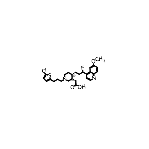 COc1ccc2nccc(C(F)CC[C@@H]3CCN(CCCc4ccc(Cl)s4)C[C@@H]3CC(=O)O)c2c1